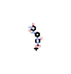 CC(C)(C)OC(=O)N1CCN(c2cccc(NC3CCC(=O)NC3=O)c2)C(=O)C1